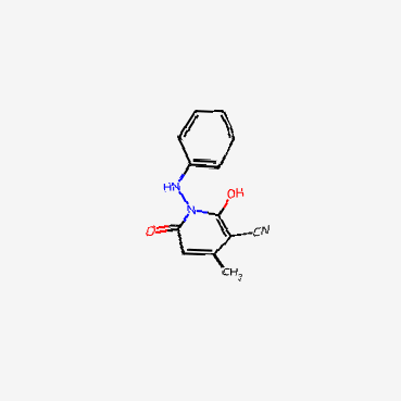 Cc1cc(=O)n(Nc2ccccc2)c(O)c1C#N